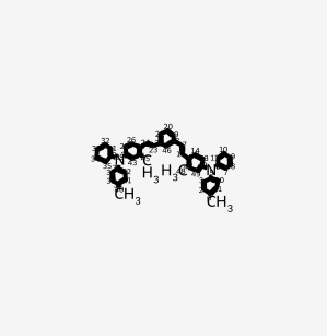 Cc1ccc(N(c2ccccc2)c2ccc(C=Cc3cccc(C=Cc4ccc(N(c5ccccc5)c5ccc(C)cc5)cc4C)c3)c(C)c2)cc1